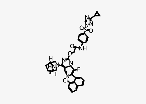 O=C(COc1nc(N2C[C@H]3CC[C@@H](C2)N3)c2cnc(-c3cccc4cccc(Cl)c34)c(F)c2n1)Nc1ccc(S(=O)(=O)n2cnc(C3CC3)n2)cc1